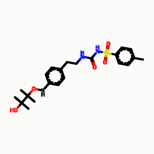 Cc1ccc(S(=O)(=O)NC(=O)NCCc2ccc(BOC(C)(C)C(C)(C)O)cc2)cc1